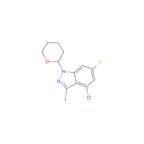 Fc1cc(Cl)c2c(I)nn(C3CCCCO3)c2c1